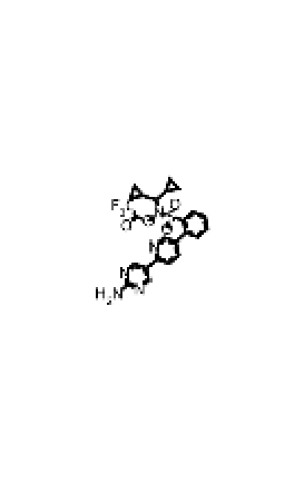 Nc1ncc(-c2ccc(-c3ccccc3S(=O)(=O)N(OC(=O)C(F)(F)F)C(C3CC3)C3CC3)cn2)cn1